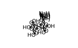 N.O=C(O)CN(CCN(CC(=O)O)CC(=O)O)CC(=O)O.O=C(O)CN(CCN(CC(=O)O)CC(=O)O)CC(=O)O.[NaH].[NaH].[NaH].[NaH]